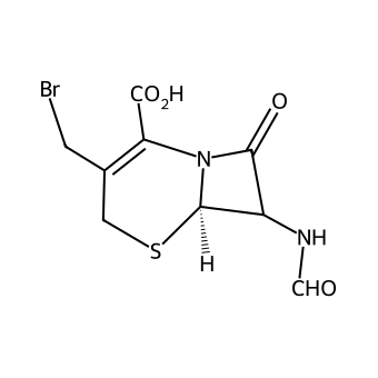 O=CNC1C(=O)N2C(C(=O)O)=C(CBr)CS[C@H]12